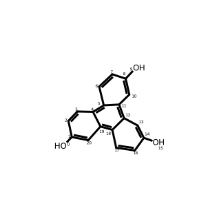 Oc1ccc2c3ccc(O)cc3c3cc(O)ccc3c2c1